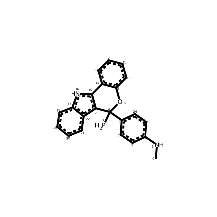 CNc1ccc(C2(P)Oc3ccccc3-c3[nH]c4ccccc4c32)cc1